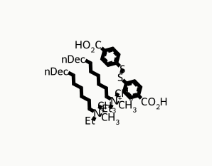 CCCCCCCCCCCCCCCC[N+](C)(C)CC.CCCCCCCCCCCCCCCC[N+](C)(C)CC.O=C(O)c1ccc(SSc2ccc(C(=O)O)cc2)cc1